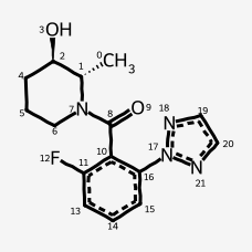 C[C@H]1[C@H](O)CCCN1C(=O)c1c(F)cccc1-n1nccn1